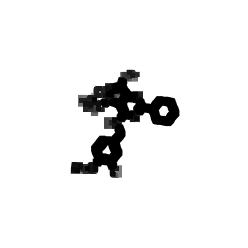 CCCc1nn(C)c2c(NCc3ccc(OC)c(Cl)c3)nc(C3CCCCC3)nc12.O=C(O)O